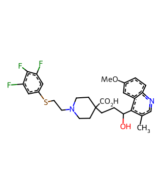 COc1ccc2ncc(C)c(C(O)CCC3(C(=O)O)CCN(CCSc4cc(F)c(F)c(F)c4)CC3)c2c1